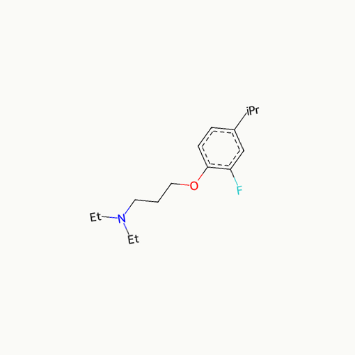 CCN(CC)CCCOc1ccc(C(C)C)cc1F